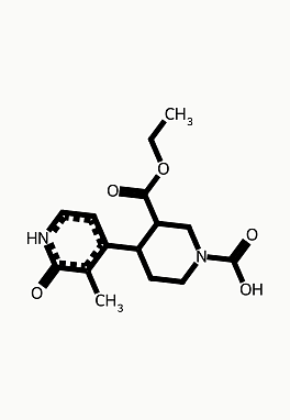 CCOC(=O)C1CN(C(=O)O)CCC1c1cc[nH]c(=O)c1C